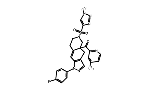 CCCn1cc(S(=O)(=O)N2CCC3=Cc4c(cnn4-c4ccc(F)cc4)CC3(C(=O)c3cc(C(F)(F)F)ccn3)C2)nn1